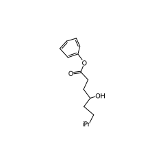 CC(C)CCC(O)CCC(=O)Oc1ccccc1